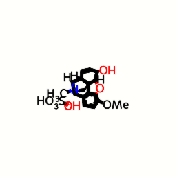 COc1ccc2c3c1O[C@H]1[C@@H](O)C=C[C@H]4[C@@H](C2)N(C)CC[C@@]341.O=S(=O)(O)O